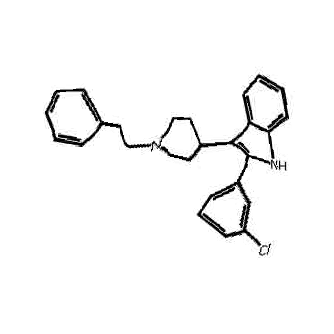 Clc1cccc(-c2[nH]c3ccccc3c2C2CCN(CCc3ccccc3)CC2)c1